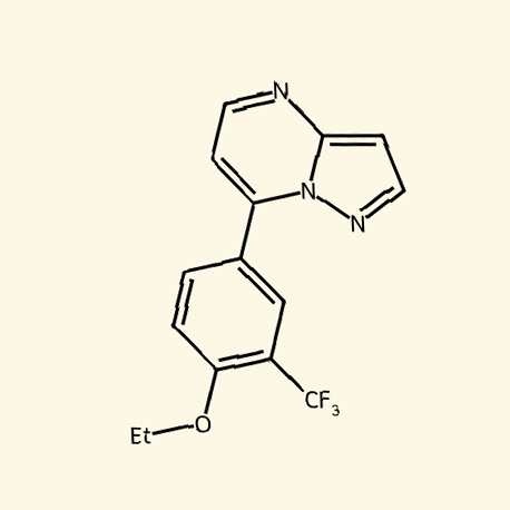 CCOc1ccc(-c2ccnc3ccnn23)cc1C(F)(F)F